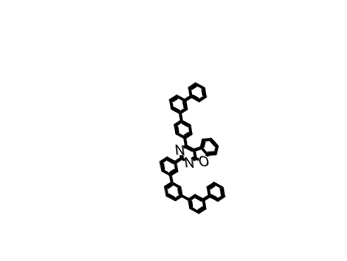 c1ccc(-c2cccc(-c3ccc(-c4nc(-c5cccc(-c6cccc(-c7cccc(-c8ccccc8)c7)c6)c5)nc5oc6ccccc6c45)cc3)c2)cc1